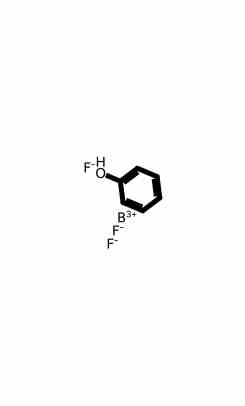 Oc1ccccc1.[B+3].[F-].[F-].[F-]